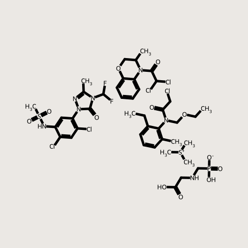 CC1COc2ccccc2N1C(=O)C(Cl)Cl.CCOCN(C(=O)CCl)c1c(C)cccc1CC.C[S+](C)C.Cc1nn(-c2cc(NS(C)(=O)=O)c(Cl)cc2Cl)c(=O)n1C(F)F.O=C(O)CNCP(=O)([O-])O